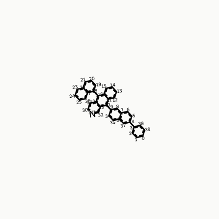 c1ccc(-c2ccc3cc(-c4c5ccccc5c(-c5cccc6ccccc56)c5ccncc45)ccc3c2)cc1